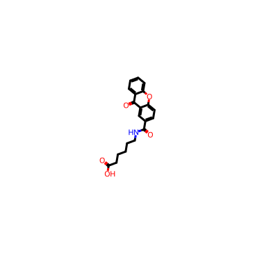 O=C(O)CCCCCNC(=O)c1ccc2oc3ccccc3c(=O)c2c1